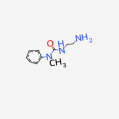 CN(C(=O)NCCN)c1ccccc1